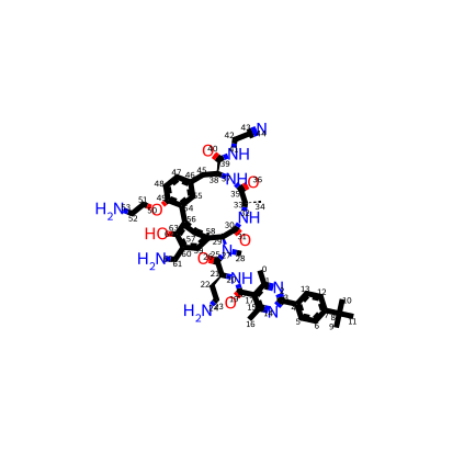 Cc1nc(-c2ccc(C(C)(C)C)cc2)nc(C)c1C(=O)N[C@@H](CCN)C(=O)N(C)[C@@H]1C(=O)N[C@@H](C)C(=O)N[C@H](C(=O)NCC#N)Cc2ccc(OCCN)c(c2)-c2cc1cc(CN)c2O